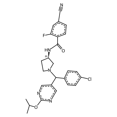 CC(C)Oc1ncc(C(c2ccc(Cl)cc2)N2CC[C@@H](NC(=O)c3ccc(C#N)cc3F)C2)cn1